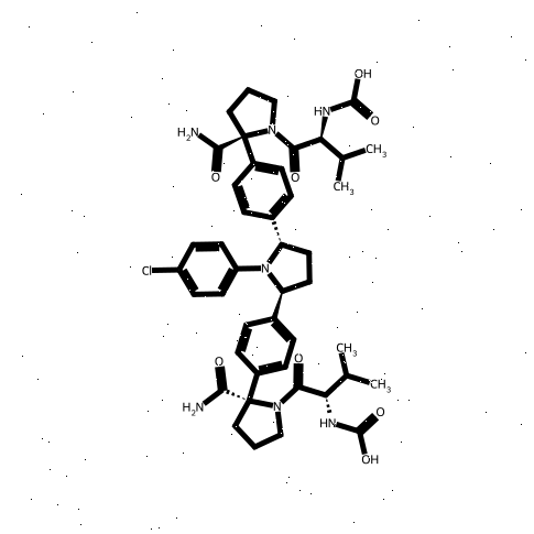 CC(C)[C@H](NC(=O)O)C(=O)N1CCC[C@@]1(C(N)=O)c1ccc([C@@H]2CC[C@@H](c3ccc([C@]4(C(N)=O)CCCN4C(=O)[C@@H](NC(=O)O)C(C)C)cc3)N2c2ccc(Cl)cc2)cc1